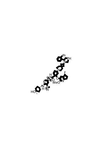 COc1nc2c(cc1Oc1cc(N3CCC4(CC3)CC(N3CCPCC3c3ccccc3C(C)C)C4)ccc1C(=O)NS(=O)(=O)c1cnc(NC[C@H]3CC[C@](C)(O)CC3)c([NH+](C)[O-])c1)C(F)=CC2